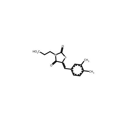 Cc1ccc(/C=C2\SC(=O)N(CCC(=O)O)C2=O)cc1C